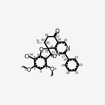 COc1cc(OC)c2c(c1Cl)O[C@]1(C2=O)c2nc(-c3ccccc3)ncc2C(=O)C[C@H]1C